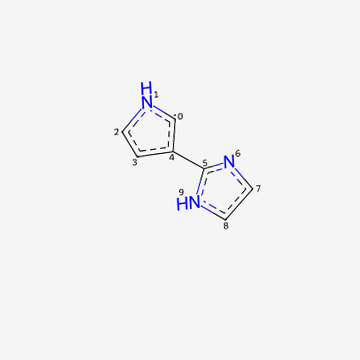 [c]1[nH]ccc1-c1ncc[nH]1